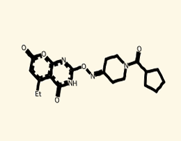 CCc1cc(=O)oc2nc(ON=C3CCN(C(=O)C4CCCC4)CC3)[nH]c(=O)c12